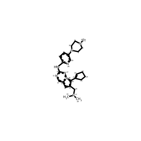 CCN1CCN(c2ccc(Nc3ncc4cc(CN(C)C)c(C5=CCCC5)n4n3)nc2)CC1